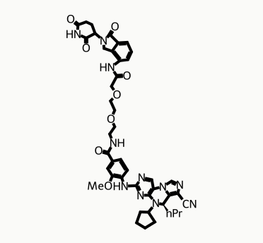 CCC[C@@H]1c2c(C#N)ncn2-c2cnc(Nc3ccc(C(=O)NCCOCCOCC(=O)Nc4cccc5c4CN(C4CCC(=O)NC4=O)C5=O)cc3OC)nc2N1C1CCCC1